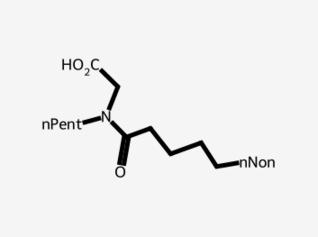 CCCCCCCCCCCCCC(=O)N(CCCCC)CC(=O)O